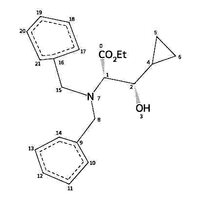 CCOC(=O)[C@H]([C@@H](O)C1CC1)N(Cc1ccccc1)Cc1ccccc1